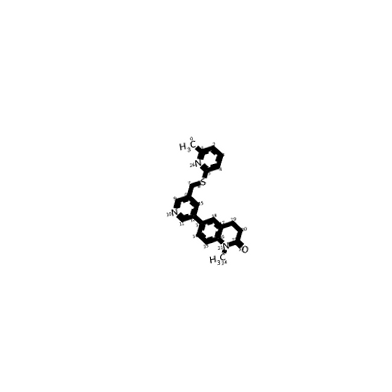 Cc1cccc(SCc2cncc(-c3ccc4c(c3)CCC(=O)N4C)c2)n1